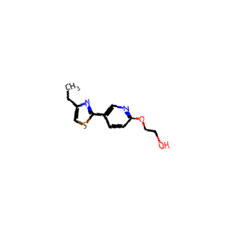 CCc1csc(-c2ccc(OCCO)nc2)n1